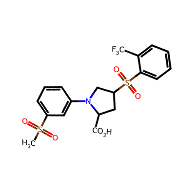 CS(=O)(=O)c1cccc(N2CC(S(=O)(=O)c3ccccc3C(F)(F)F)CC2C(=O)O)c1